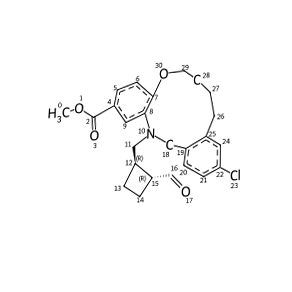 COC(=O)c1ccc2c(c1)N(C[C@@H]1CC[C@H]1C=O)Cc1ccc(Cl)cc1CCCCO2